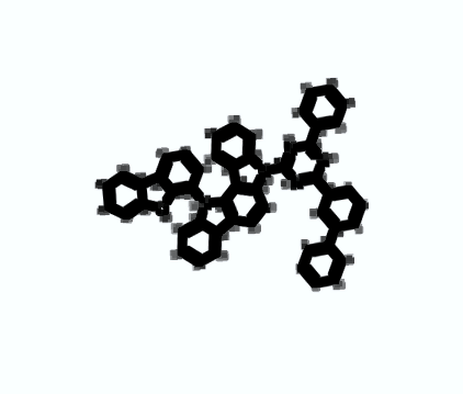 c1ccc(-c2cccc(-c3nc(-c4ccccc4)nc(-n4c5ccccc5c5c4ccc4c6ccccc6n(-c6cccc7c6oc6ccccc67)c45)n3)c2)cc1